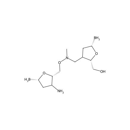 B[C@H]1CC(N)[C@@H](CON(C)CC2C[C@H](B)O[C@@H]2CO)O1